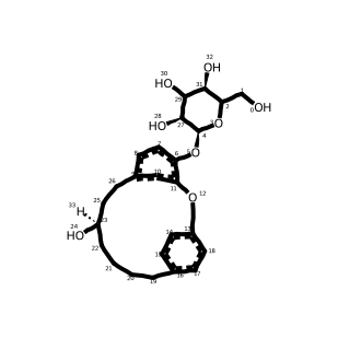 OCC1O[C@@H](Oc2ccc3cc2Oc2ccc(cc2)CCCC[C@@H](O)CC3)[C@@H](O)C(O)[C@H]1O